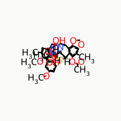 COc1ccc2oc3c(c2c1)CCN[C@]31S[C@@H]2c3c(OC(C)=O)c(C)c4c(c3C(COC1=O)N1[C@@H]2[C@@H]2c3c(cc(C)c(OC)c3O)CC1(O)CN2C)OCO4